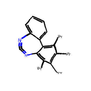 CC(C)c1c2c(c(C(C)C)c(C(C)C)c1C(C)C)-c1ccccc1N=C=N2